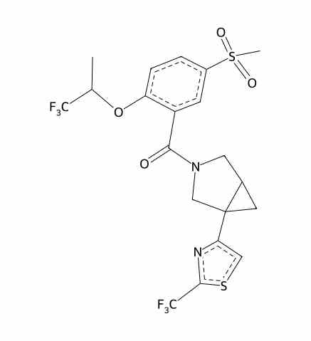 CC(Oc1ccc(S(C)(=O)=O)cc1C(=O)N1CC2CC2(c2csc(C(F)(F)F)n2)C1)C(F)(F)F